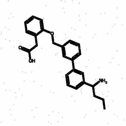 CCCC(N)c1cccc(-c2cccc(COc3ccccc3CC(=O)O)c2)c1